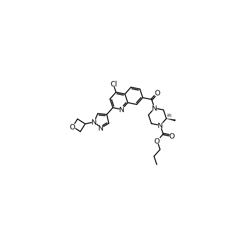 CCCOC(=O)N1CCN(C(=O)c2ccc3c(Cl)cc(-c4cnn(C5COC5)c4)nc3c2)C[C@H]1C